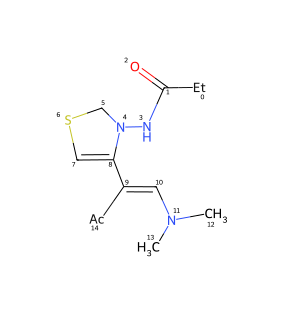 CCC(=O)NN1CSC=C1C(=CN(C)C)C(C)=O